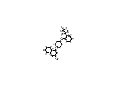 [O]c1cc(N2CCC(Oc3ccccc3C(F)(F)C(F)(F)F)CC2)c2ccccc2n1